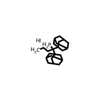 CCCC(P)(C12CC3CC(CC(C3)C1)C2)C12CC3CC(CC(C3)C1)C2.I